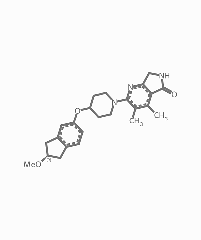 CO[C@@H]1Cc2ccc(OC3CCN(c4nc5c(c(C)c4C)C(=O)NC5)CC3)cc2C1